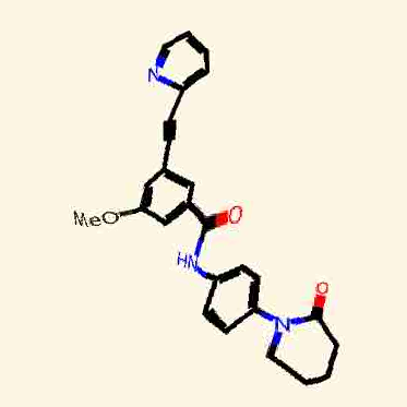 COc1cc(C#Cc2ccccn2)cc(C(=O)Nc2ccc(N3CCCCC3=O)cc2)c1